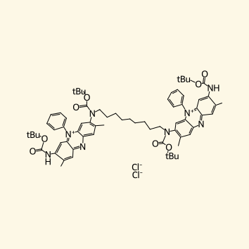 Cc1cc2nc3cc(C)c(N(CCCCCCCCCN(C(=O)OC(C)(C)C)c4cc5c(cc4C)nc4cc(C)c(NC(=O)OC(C)(C)C)cc4[n+]5-c4ccccc4)C(=O)OC(C)(C)C)cc3[n+](-c3ccccc3)c2cc1NC(=O)OC(C)(C)C.[Cl-].[Cl-]